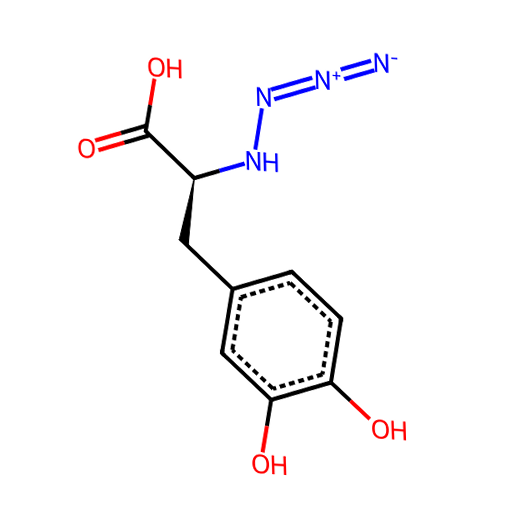 [N-]=[N+]=NN[C@@H](Cc1ccc(O)c(O)c1)C(=O)O